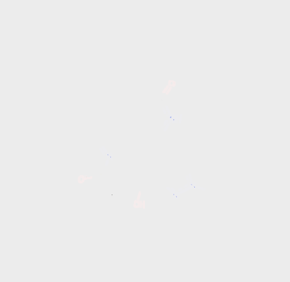 CC(=N[S+]([O-])C(C)(C)C)c1cc(F)cc2c(=O)[nH]c(-c3cn(C)nc3CO)cc12